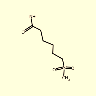 CS(=O)(=O)CCCCCC([NH])=O